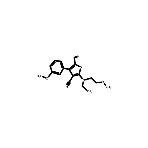 CCN(CCOC)c1sc(C=O)c(-c2cccc(OC)c2)c1C#N